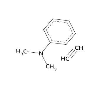 C#C.CN(C)c1ccccc1